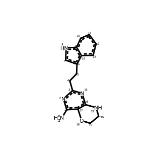 Nc1nc(CCc2c[nH]c3ccccc23)nc2c1OCCN2